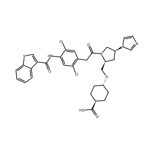 O=C(Nc1cc(Cl)c(CC(=O)N2C[C@@H](n3ccnc3)C[C@H]2CO[C@H]2CC[C@H](C(=O)O)CC2)cc1Cl)c1csc2ccccc12